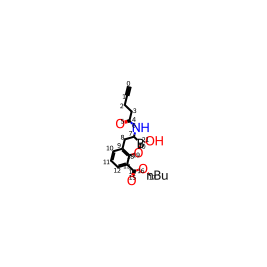 C#CCCC(=O)NC1Cc2cccc(C(=O)OCCCC)c2OB1O